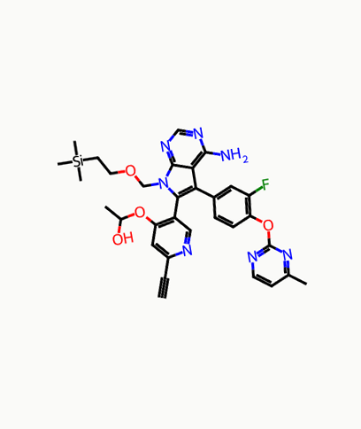 C#Cc1cc(OC(C)O)c(-c2c(-c3ccc(Oc4nccc(C)n4)c(F)c3)c3c(N)ncnc3n2COCC[Si](C)(C)C)cn1